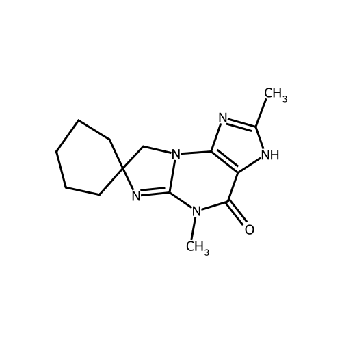 Cc1nc2c([nH]1)C(=O)N(C)C1=NC3(CCCCC3)CN12